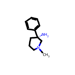 CN1CCC[C@@](N)(c2ccccc2)C1